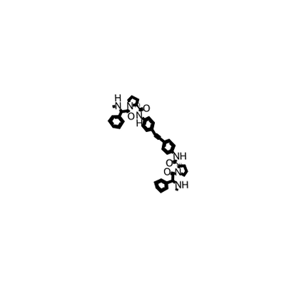 CNC(C(=O)N1CCC[C@H]1C(=O)Nc1ccc(C#Cc2ccc(NC(=O)[C@@H]3CCCN3C(=O)C(NC)c3ccccc3)cc2)cc1)c1ccccc1